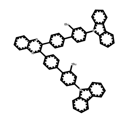 CC(C)(C)c1cc(-n2c3ccccc3c3ccccc32)ccc1-c1ccc(-c2nc3ccccc3nc2-c2ccc(-c3ccc(-n4c5ccccc5c5ccccc54)cc3C(C)(C)C)cc2)cc1